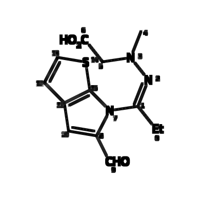 CC/C(=N/N(C)CC(=O)O)n1c(C=O)cc2ccsc21